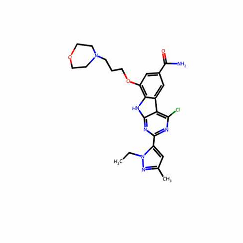 CCn1nc(C)cc1-c1nc(Cl)c2c(n1)[nH]c1c(OCCCN3CCOCC3)cc(C(N)=O)cc12